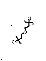 CC(C)(Cl)CCOCCC(C)(C)Cl